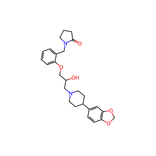 O=C1CCCN1Cc1ccccc1OCC(O)CN1CCC(c2ccc3c(c2)OCO3)CC1